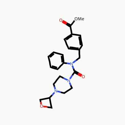 COC(=O)c1ccc(CN(C(=O)N2CCN(C3COC3)CC2)c2ccccc2)cc1